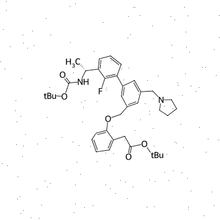 C[C@@H](NC(=O)OC(C)(C)C)c1cccc(-c2cc(COc3ccccc3CC(=O)OC(C)(C)C)cc(CN3CCCC3)c2)c1F